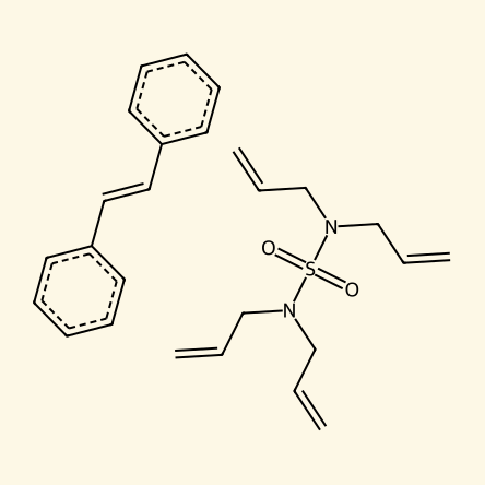 C(=Cc1ccccc1)c1ccccc1.C=CCN(CC=C)S(=O)(=O)N(CC=C)CC=C